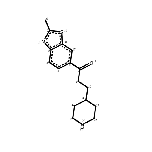 Cc1nc2ccc(C(=O)CCC3CCNCC3)cc2s1